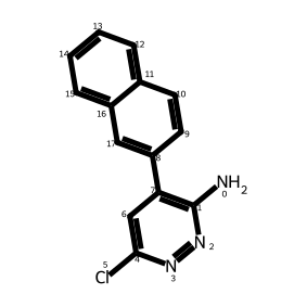 Nc1nnc(Cl)cc1-c1ccc2ccccc2c1